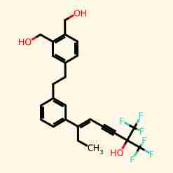 CCC(=CC#CC(O)(C(F)(F)F)C(F)(F)F)c1cccc(CCc2ccc(CO)c(CO)c2)c1